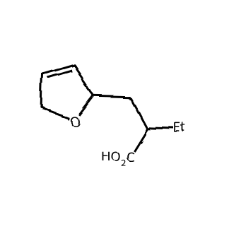 CCC(CC1C=CCO1)C(=O)O